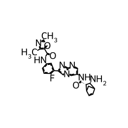 Cc1nc(C)c(C(=O)Nc2ccc(F)c(-c3cn4cc(NC(=O)[C@H]5C6C=CC(C6)[C@H]5N)cnc4n3)c2)o1